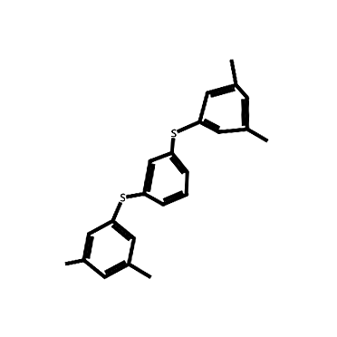 Cc1cc(C)cc(Sc2cccc(Sc3cc(C)cc(C)c3)c2)c1